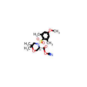 COc1cc(C)c(S(=O)(=O)N2CC(C)(C)OC[C@H]2C(=O)OC#N)c(C)c1